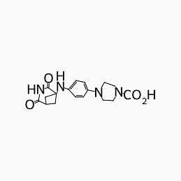 O=C1NC(=O)C2(Nc3ccc(N4CCN(C(=O)O)CC4)cc3)CC1C2